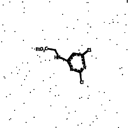 CCOC(=O)CNc1cc(Cl)nc(Cl)n1